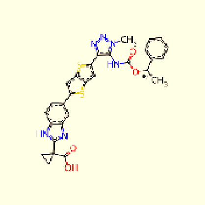 C[C@@H](OC(=O)Nc1c(-c2cc3sc(-c4ccc5[nH]c(C6(C(=O)O)CC6)nc5c4)cc3s2)nnn1C)c1ccccc1